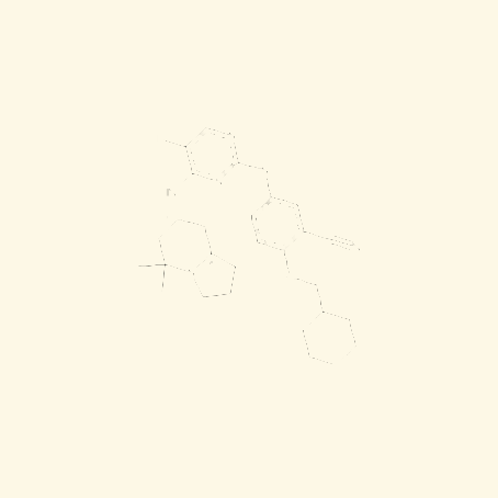 CC1(C)C[C@H](Nc2nc(Nc3ccc(OCC4CCOCC4)c(C#N)c3)ncc2F)C[C@H]2CCCN21